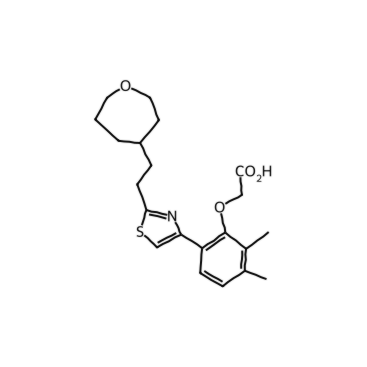 Cc1ccc(-c2csc(CCC3CCCOCC3)n2)c(OCC(=O)O)c1C